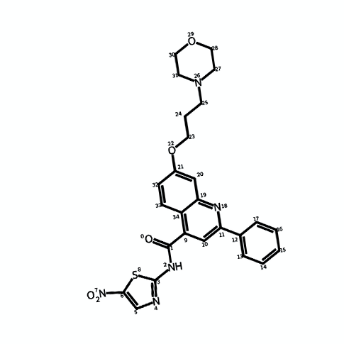 O=C(Nc1ncc([N+](=O)[O-])s1)c1cc(-c2ccccc2)nc2cc(OCCCN3CCOCC3)ccc12